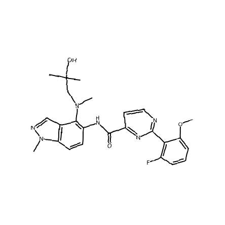 COc1cccc(F)c1-c1nccc(C(=O)Nc2ccc3c(cnn3C)c2N(C)CC(C)(C)O)n1